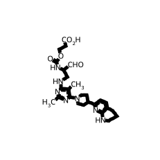 Cc1nc(NCC(C=O)NC(=O)OCCC(=O)O)c(C)c(N2CCC(c3ccc4c(n3)NCCC4)CC2)n1